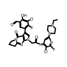 CCN1CCN(c2cc(NC(=O)Cn3cc(-c4cc(C=O)c(O)c(Cl)c4F)c4c(=O)n5c(nc43)CCC5)c(Cl)c(F)n2)CC1